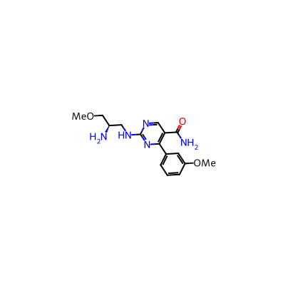 COC[C@H](N)CNc1ncc(C(N)=O)c(-c2cccc(OC)c2)n1